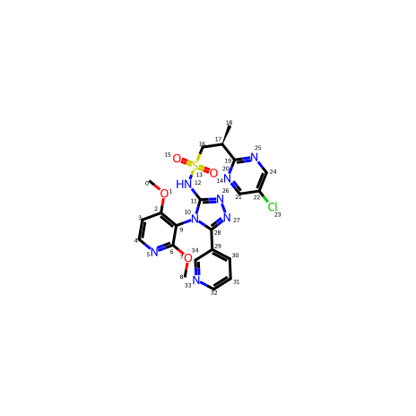 COc1ccnc(OC)c1-n1c(NS(=O)(=O)C[C@@H](C)c2ncc(Cl)cn2)nnc1-c1cccnc1